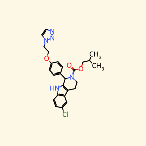 CC(C)COC(=O)N1CCc2c([nH]c3ccc(Cl)cc23)C1c1ccc(OCCn2ccnn2)cc1